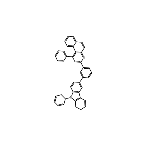 C1=CCC(n2c3c(c4cc(-c5cccc(-c6cc(-c7ccccc7)c7c(ccc8ccccc87)n6)c5)ccc42)C=CCC3)C=C1